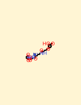 C[N+](C)(C)C(CCCCNC(=O)CCCCOc1ccc(C=O)c(O)c1)C(=O)NCC(=O)ON1C(=O)CCC1=O